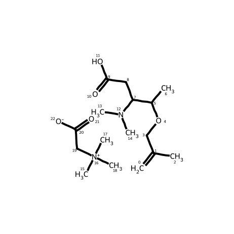 C=C(C)COC(C)C(CC(=O)O)N(C)C.C[N+](C)(C)CC(=O)[O-]